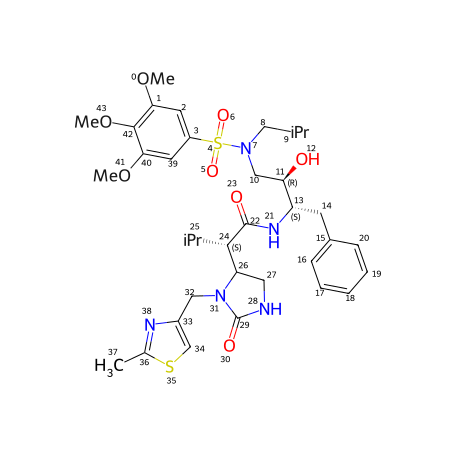 COc1cc(S(=O)(=O)N(CC(C)C)C[C@@H](O)[C@H](Cc2ccccc2)NC(=O)[C@@H](C(C)C)C2CNC(=O)N2Cc2csc(C)n2)cc(OC)c1OC